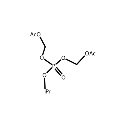 CC(=O)OCOP(=O)(OCOC(C)=O)OC(C)C